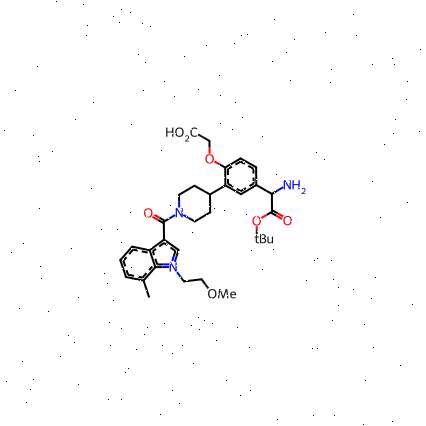 COCCn1cc(C(=O)N2CCC(c3cc(C(N)C(=O)OC(C)(C)C)ccc3OCC(=O)O)CC2)c2cccc(C)c21